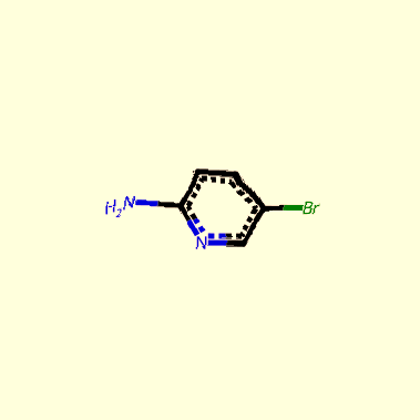 Nc1[c]cc(Br)cn1